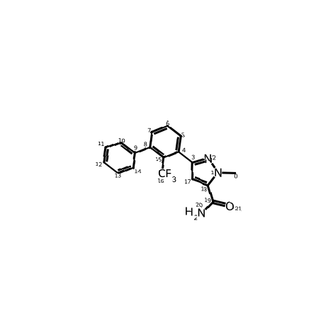 Cn1nc(-c2cccc(-c3ccccc3)c2C(F)(F)F)cc1C(N)=O